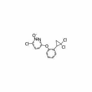 [O-][n+]1nc(Oc2ccccc2C2CC2(Cl)Cl)ccc1Cl